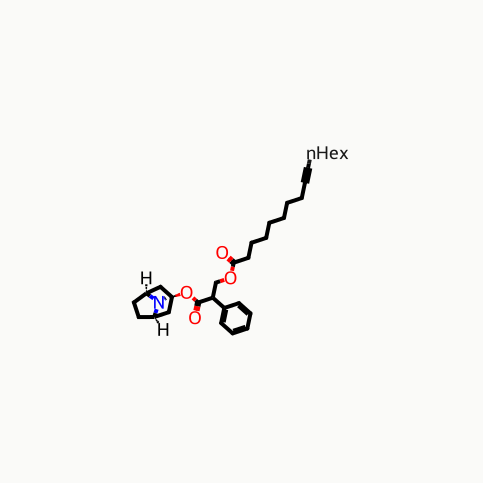 CCCCCCC#CCCCCCCCC(=O)OCC(C(=O)O[C@H]1C[C@H]2CC[C@@H](C1)N2C)c1ccccc1